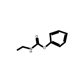 CCNC(=O)Oc1[c]cccc1